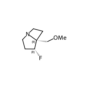 COC[C@@]12CCN1CC[C@H]2F